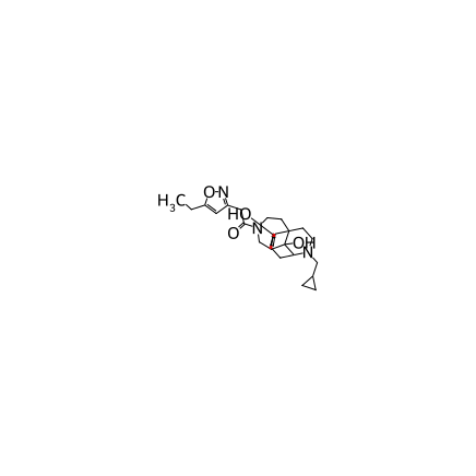 CCc1cc(CC(=O)N2CCC34CCN(CC5CC5)C(Cc5ccc(O)cc53)C4(O)CC2)no1